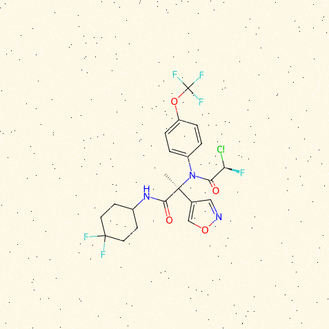 C[C@@](C(=O)NC1CCC(F)(F)CC1)(c1cnoc1)N(C(=O)[C@H](F)Cl)c1ccc(OC(F)(F)F)cc1